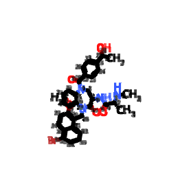 CN[C@@H](C)C(=O)NC1CN(C(=O)c2ccc(C(C)O)cc2)c2ccccc2N(Cc2c(OC)ccc3c(Br)cccc23)C1=O